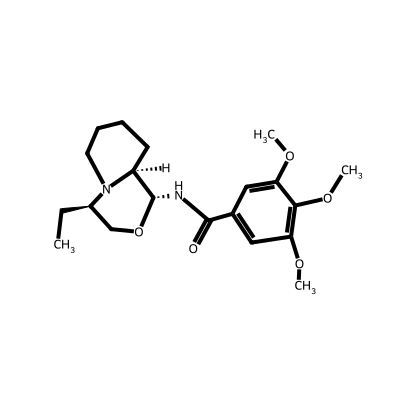 CC[C@@H]1CO[C@@H](NC(=O)c2cc(OC)c(OC)c(OC)c2)[C@@H]2CCCCN12